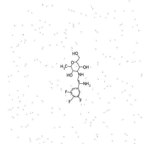 CC1OC(CO)C(O)C(N/C=C(\N)c2cc(F)c(F)c(F)c2)C1O